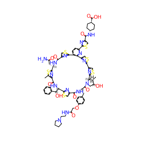 Cc1sc2nc1C(=O)N[C@@H]([C@H](O)c1ccccc1)c1nc(cs1)C(=O)N[C@@H](Cc1ccc(OCC(=O)NCCN3CCCC3)cc1)C(=O)N1C[C@H](O)[C@H](C)[C@H]1c1nc(cs1)-c1nc(cs1)-c1nc(-c3nc(C(=O)N[C@H]4CC[C@H](C(=O)O)CC4)cs3)ccc1-c1nc(cs1)C(=O)N[C@H]2CC(N)=O